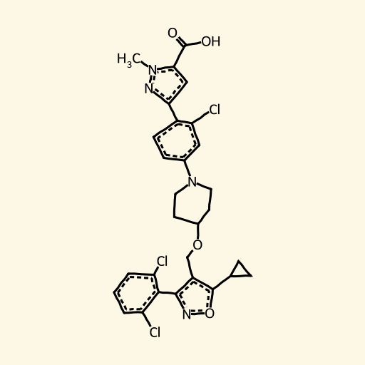 Cn1nc(-c2ccc(N3CCC(OCc4c(-c5c(Cl)cccc5Cl)noc4C4CC4)CC3)cc2Cl)cc1C(=O)O